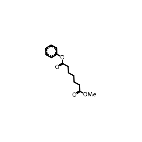 COC(=O)CCCCCC(=O)Oc1ccccc1